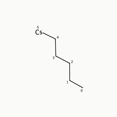 CCCC[CH2][Cs]